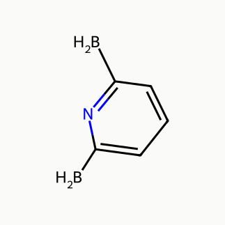 Bc1cccc(B)n1